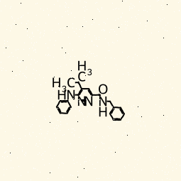 CC(C)c1cc(C(=O)NCc2ccccc2)nnc1Nc1ccccc1